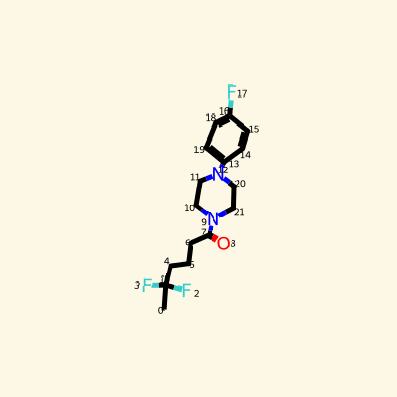 CC(F)(F)CCCC(=O)N1CCN(c2ccc(F)cc2)CC1